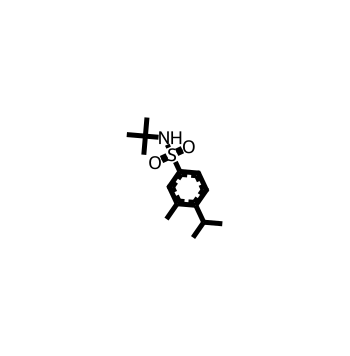 Cc1cc(S(=O)(=O)NC(C)(C)C)ccc1C(C)C